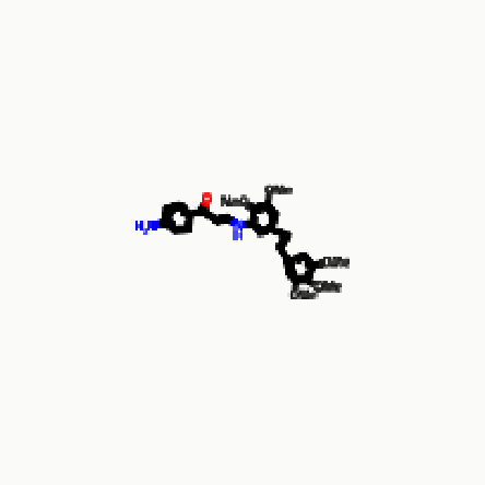 COc1cc(C=Cc2cc(OC)c(OC)c(OC)c2)cc(NC=CC(=O)c2ccc(N)cc2)c1OC